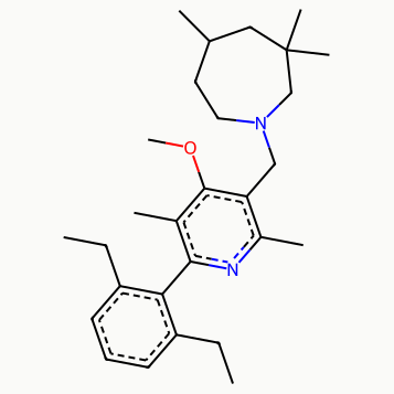 CCc1cccc(CC)c1-c1nc(C)c(CN2CCC(C)CC(C)(C)C2)c(OC)c1C